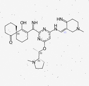 C[C@H](Oc1cc(N/C=C2/CN(C)CCC2=N)nc(C(=N)C2=C(O)[C@]3(CCCCC3=O)CCC2)n1)[C@@H]1CCCN1C